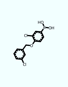 OB(O)c1ccc(OCc2cccc(Cl)c2)c(Cl)c1